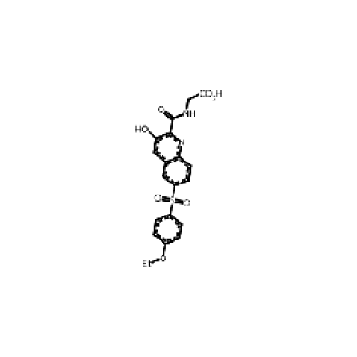 CCOc1ccc(S(=O)(=O)c2ccc3nc(C(=O)NCC(=O)O)c(O)cc3c2)cc1